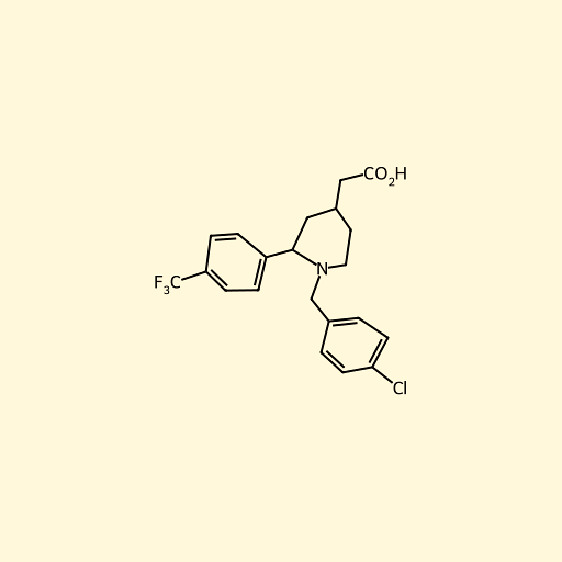 O=C(O)CC1CCN(Cc2ccc(Cl)cc2)C(c2ccc(C(F)(F)F)cc2)C1